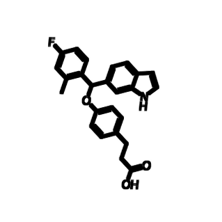 Cc1cc(F)ccc1C(Oc1ccc(CCC(=O)O)cc1)c1ccc2cc[nH]c2c1